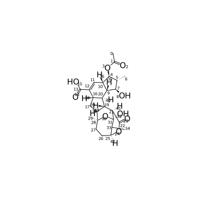 CC(=O)O[C@H]1[C@H](C)[C@@H](O)[C@H]2[C@@H]1C=C(C(=O)O)[C@H]1C[C@@H]3[C@H]([C@H]21)[C@H]1C(=O)O[C@H]2CC[C@]3(C)O[C@]1(O)C2C